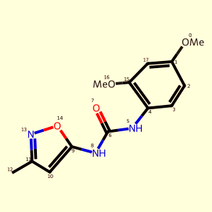 COc1ccc(NC(=O)Nc2cc(C)no2)c(OC)c1